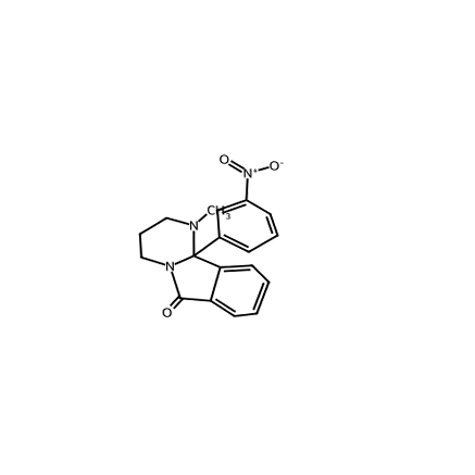 CN1CCCN2C(=O)c3ccccc3C12c1cccc([N+](=O)[O-])c1